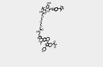 CNC(=O)N1CCc2c(c(N3CCCc4cc(-c5cnn(CCNC(=O)COCCOCCOCC(=O)N[C@H](C(=O)N6C[C@H](O)C[C@H]6C(=O)NCc6ccc(-c7scnc7C)cc6)C(C)(C)C)c5)c(C(F)F)cc43)nn2C2CCOCC2)C1